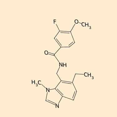 CCc1ccc2ncn(C)c2c1CNC(=O)c1ccc(OC)c(F)c1